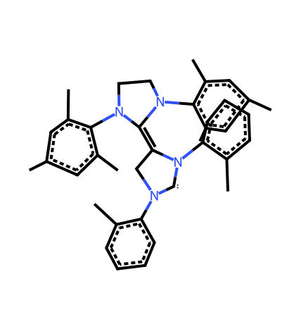 Cc1cc(C)c(N2CCN(c3c(C)cc(C)cc3C)C2=C2CN(c3ccccc3C)[C]N2c2ccccc2C)c(C)c1